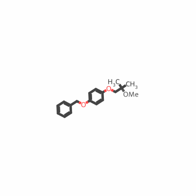 COC(C)(C)COc1ccc(OCc2ccccc2)cc1